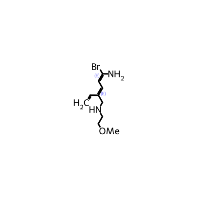 C=C/C(=C\C=C(/N)Br)CNCCOC